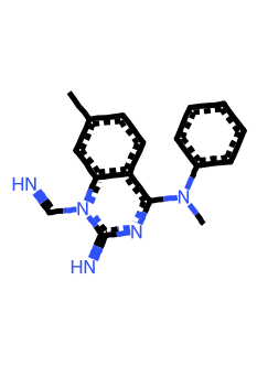 Cc1ccc2c(N(C)c3ccccc3)nc(=N)n(C=N)c2c1